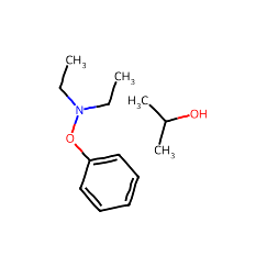 CC(C)O.CCN(CC)Oc1ccccc1